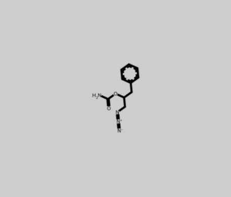 [N-]=[N+]=NCC(Cc1ccccc1)OC(N)=O